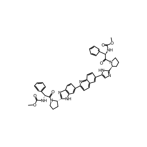 COC(=O)N[C@@H](C(=O)N1CCC[C@H]1c1ncc(-c2ccc3nc(-c4ccc5nc([C@@H]6CCCN6C(=O)[C@H](NC(=O)OC)c6ccccc6)[nH]c5c4)ccc3c2)[nH]1)c1ccccc1